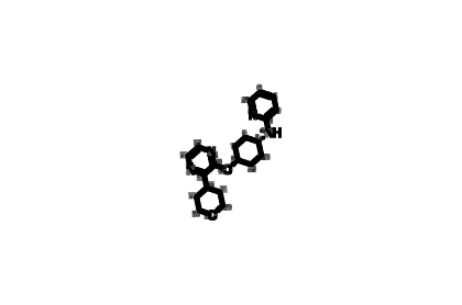 c1ccc(N[C@H]2CC[C@H](Oc3nccnc3C3CCOCC3)CC2)nc1